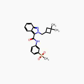 CC1(C)CC(Cn2nc3ccccc3c2C(=O)Nc2cccc(S(C)(=O)=O)c2)C1